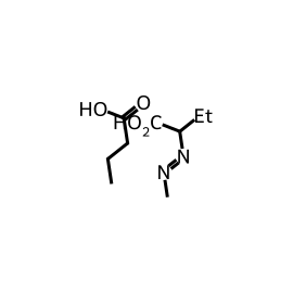 CCC(N=NC)C(=O)O.CCCC(=O)O